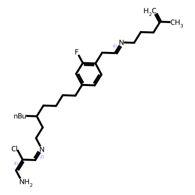 C=C(C)CCC/N=C/Cc1ccc(CCCCC(CCCC)CC/N=C\C(Cl)=C/N)cc1F